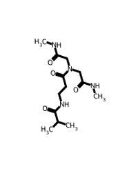 CNC(=O)CN(CC(=O)NC)C(=O)CCNC(=O)C(C)C